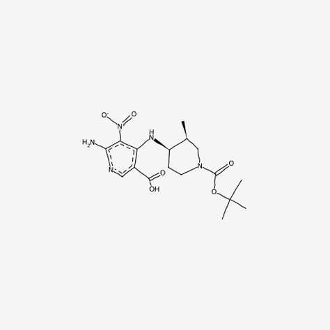 C[C@H]1CN(C(=O)OC(C)(C)C)CC[C@H]1Nc1c(C(=O)O)cnc(N)c1[N+](=O)[O-]